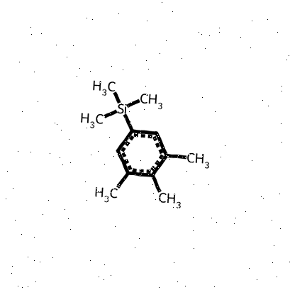 Cc1cc([Si](C)(C)C)cc(C)c1C